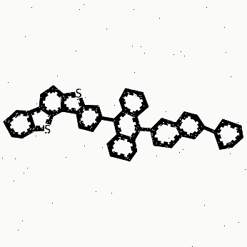 c1ccc(-c2ccc3cc(-c4c5ccccc5c(-c5ccc6c(c5)sc5ccc7c8ccccc8sc7c56)c5ccccc45)ccc3c2)cc1